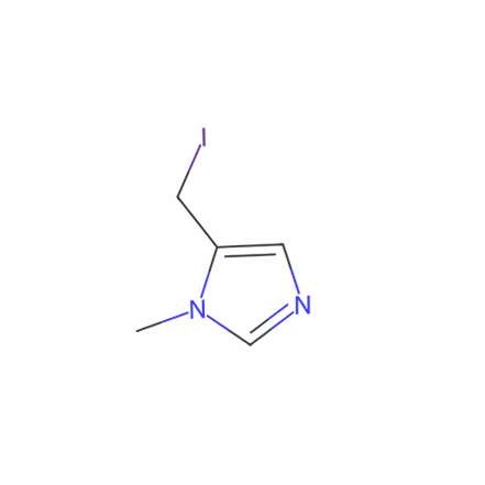 Cn1cncc1CI